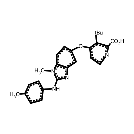 Cc1ccc(Nc2nc3cc(Oc4ccnc(C(=O)O)c4C(C)(C)C)ccc3n2C)cc1